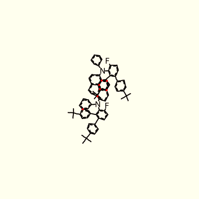 CC(C)(C)c1ccc(-c2ccc(F)c(N(c3ccccc3)c3ccc4ccc5c(N(c6ccccc6)c6c(F)ccc(-c7ccc(C(C)(C)C)cc7)c6-c6ccc(C(C)(C)C)cc6)ccc6ccc3c4c65)c2-c2ccc(C(C)(C)C)cc2)cc1